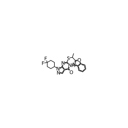 CC(Sc1nc2c(cnn2C2CCC(F)(F)CC2)c(=O)[nH]1)c1nc2ccccc2o1